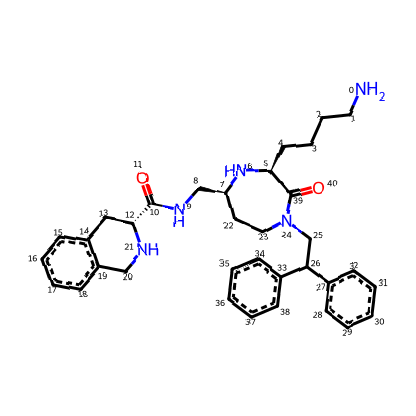 NCCCC[C@@H]1N[C@H](CNC(=O)[C@H]2Cc3ccccc3CN2)CCN(CC(c2ccccc2)c2ccccc2)C1=O